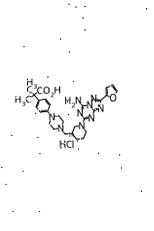 CC(C)(C(=O)O)c1ccc(N2CCN(C[C@@H]3CCCN(c4nc(N)n5nc(-c6ccco6)nc5n4)C3)CC2)cc1.Cl